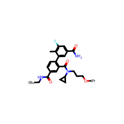 Cc1c(F)cc(C(N)=O)cc1-c1ccc(C(=O)NCC(C)(C)C)cc1C(=O)N(CCCOC(C)C)C1CC1